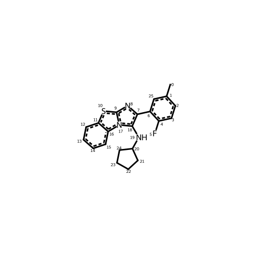 Cc1ccc(F)c(-c2nc3sc4ccccc4n3c2NC2CCCC2)c1